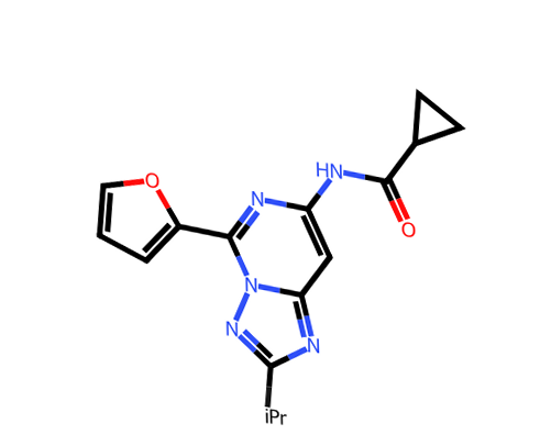 CC(C)c1nc2cc(NC(=O)C3CC3)nc(-c3ccco3)n2n1